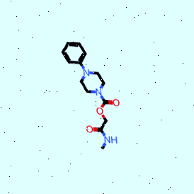 CNC(=O)COC(=O)N1CCN(c2ccccc2)CC1